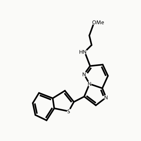 COCCNc1ccc2ncc(-c3cc4ccccc4s3)n2n1